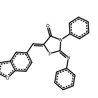 O=C1/C(=C/c2ccc3occc3c2)S/C(=N\c2ccccc2)N1c1ccccc1